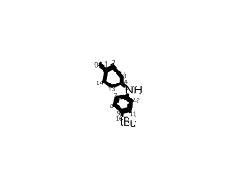 CC1CCC(Nc2ccc(C(C)(C)C)cc2)CC1